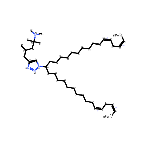 CCCCC/C=C\C/C=C\CCCCCCCCCCC(CCCCCCCCCC/C=C\C/C=C\CCCCC)n1cc(CC(C)CC(C)(C)N(C)C)nn1